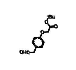 CC(C)(C)OC(=O)COc1ccc(CC=O)cc1